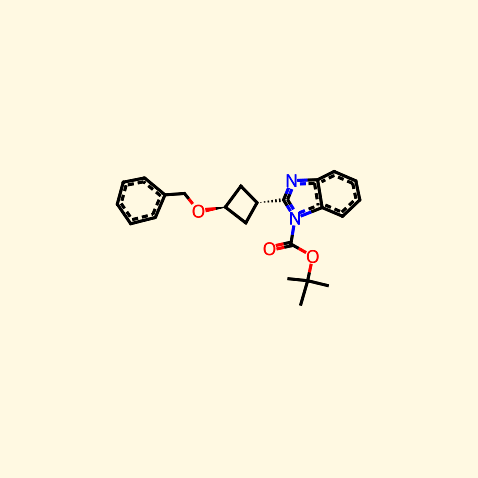 CC(C)(C)OC(=O)n1c2ccccc2nc1[C@H]1C[C@H](OCc2ccccc2)C1